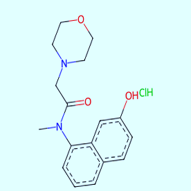 CN(C(=O)CN1CCOCC1)c1cccc2ccc(O)cc12.Cl